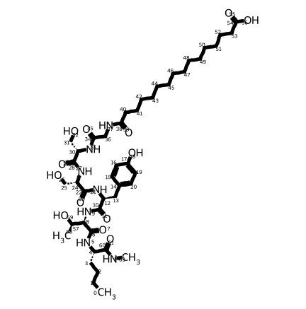 CCCC[C@H](NC(=O)[C@@H](NC(=O)[C@H](Cc1ccc(O)cc1)NC(=O)[C@H](CO)NC(=O)[C@H](CO)NC(=O)CNC(=O)CCCCCCCCCCCCCCC(=O)O)[C@@H](C)O)C(=O)NC